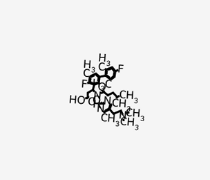 Cc1cc(-c2c(C)cc(F)cc2C)cc(C(CC(=O)O)NC(=O)C(CC(C)C)n2cc(CCN(C)C)c(C)nc2=O)c1F